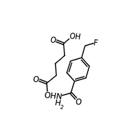 NC(=O)c1ccc(CF)cc1.O=C(O)CCCC(=O)O